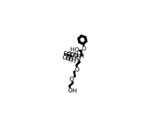 CC(=O)O.CC(=O)O.CC(=O)O.OCCOCCOCCOCC(O)Oc1ccccc1